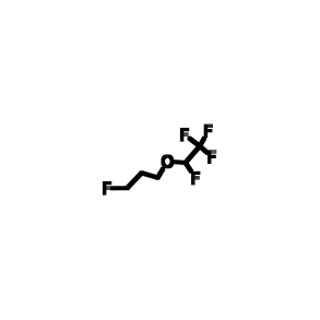 FCCCOC(F)C(F)(F)F